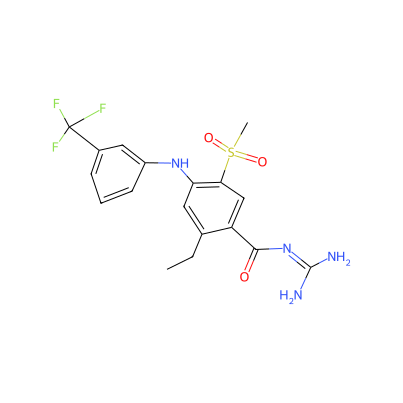 CCc1cc(Nc2cccc(C(F)(F)F)c2)c(S(C)(=O)=O)cc1C(=O)N=C(N)N